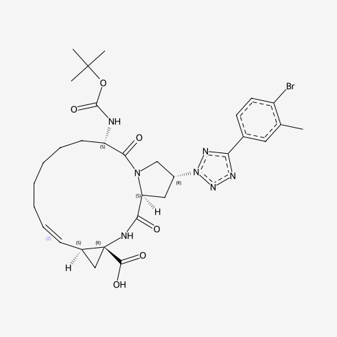 Cc1cc(-c2nnn([C@@H]3C[C@H]4C(=O)N[C@]5(C(=O)O)C[C@H]5/C=C\CCCCC[C@H](NC(=O)OC(C)(C)C)C(=O)N4C3)n2)ccc1Br